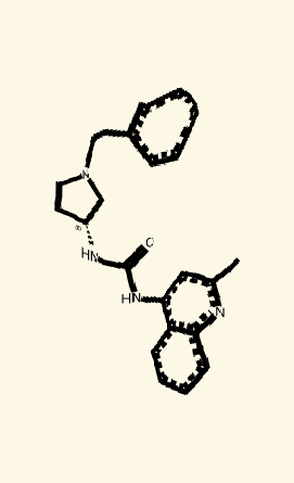 Cc1cc(NC(=O)N[C@@H]2CCN(Cc3ccccc3)C2)c2ccccc2n1